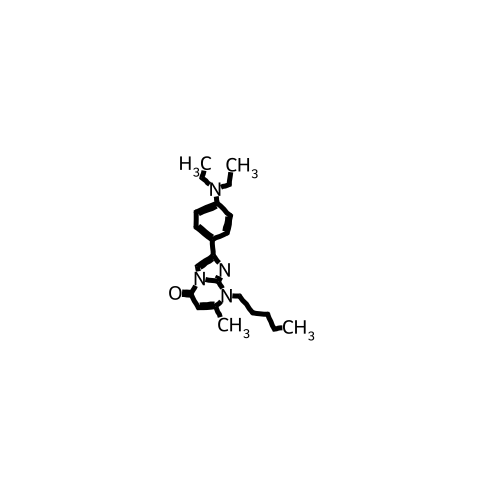 CCCCCn1c(C)cc(=O)n2cc(-c3ccc(N(CC)CC)cc3)nc12